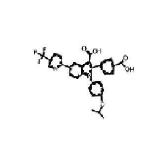 CC(C)Oc1ccc(-n2c(-c3ccc(C(=O)O)cc3)c(C(=O)O)c3cc(-c4ccc(C(F)(F)F)cn4)ccc32)cc1